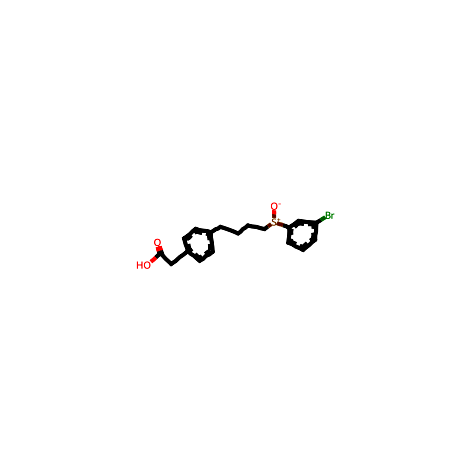 O=C(O)Cc1ccc(CCCC[S+]([O-])c2cccc(Br)c2)cc1